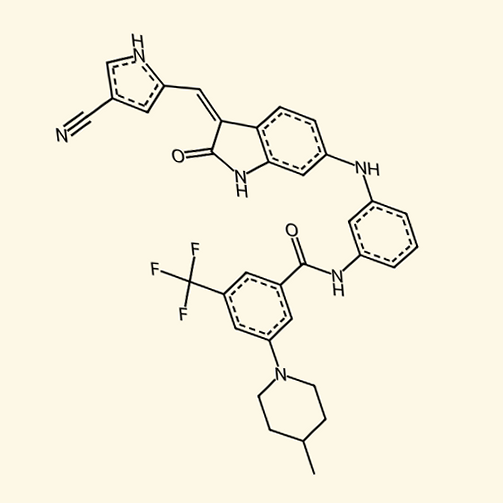 CC1CCN(c2cc(C(=O)Nc3cccc(Nc4ccc5c(c4)NC(=O)C5=Cc4cc(C#N)c[nH]4)c3)cc(C(F)(F)F)c2)CC1